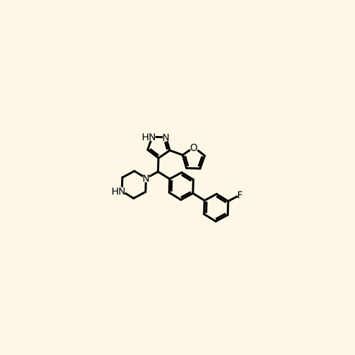 Fc1cccc(-c2ccc(C(c3c[nH]nc3-c3ccco3)N3CCNCC3)cc2)c1